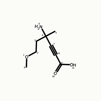 COCCC(C)(N)C#CC(=O)O